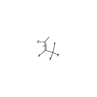 C/C(F)=C(/F)C(F)(F)F